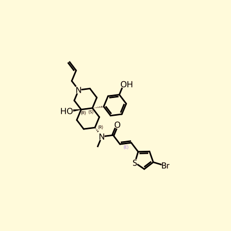 C=CCN1CC[C@@]2(c3cccc(O)c3)C[C@H](N(C)C(=O)/C=C/c3cc(Br)cs3)CC[C@]2(O)C1